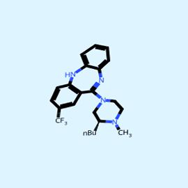 CCCC[C@H]1CN(C2=Nc3ccccc3Nc3ccc(C(F)(F)F)cc32)CCN1C